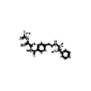 CC[C@@H](NCCc1ccc(C(=O)N(C)[C@H](C)C(=N)OC(=O)NC)cc1)[C@H](O)c1ccccc1